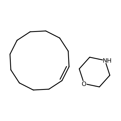 C1=CCCCCCCCCCC1.C1COCCN1